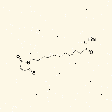 CCCCOC(=O)CCCCCCCCCCN1C(=O)C=CC1=O